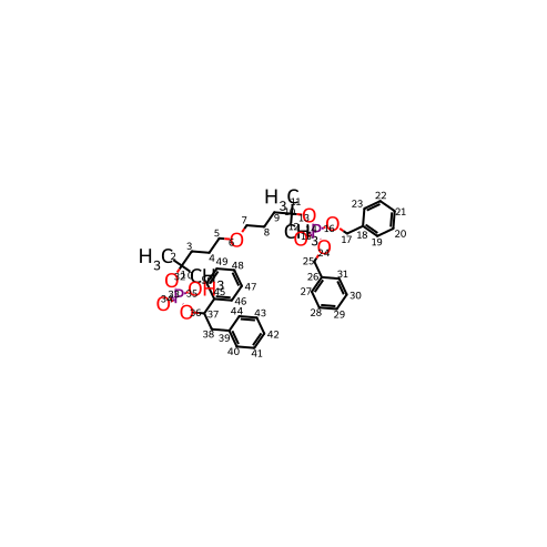 CC(C)(CCCOCCCC(C)(C)OP(=O)(OCc1ccccc1)OCc1ccccc1)OP(=O)(O)OC(Cc1ccccc1)c1ccccc1